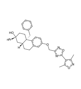 CCC[C@@]1(O)CC[C@@]2(Cc3ccccc3)c3ccc(OCc4noc(-c5c(C)noc5C)n4)cc3CC[C@@H]2C1